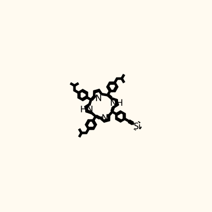 CC(C)Cc1ccc(-c2c3nc(c(-c4ccc(CC(C)C)cc4)c4ccc([nH]4)c(-c4ccc(CC(C)C)cc4)c4nc(c(-c5ccc(C#C[Si](C)(C)C)cc5)c5ccc2[nH]5)C=C4)C=C3)cc1